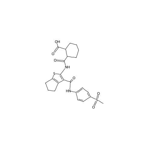 CS(=O)(=O)c1ccc(NC(=O)c2c(NC(=O)C3CCCCC3C(=O)O)sc3c2CCC3)cc1